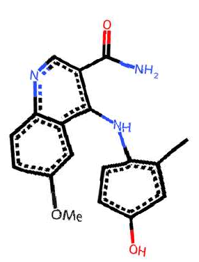 COc1ccc2ncc(C(N)=O)c(Nc3ccc(O)cc3C)c2c1